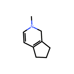 CN1C=CC2=C(CCC2)C1